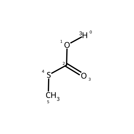 [3H]OC(=O)SC